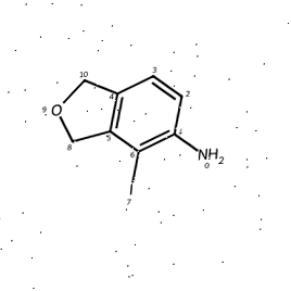 Nc1ccc2c(c1I)COC2